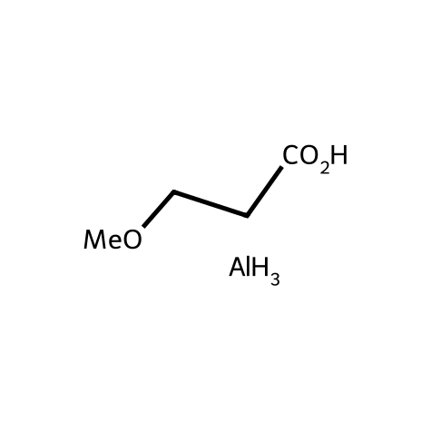 COCCC(=O)O.[AlH3]